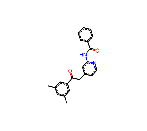 Cc1cc(C)cc(C(=O)Cc2ccnc(NC(=O)c3ccccc3)c2)c1